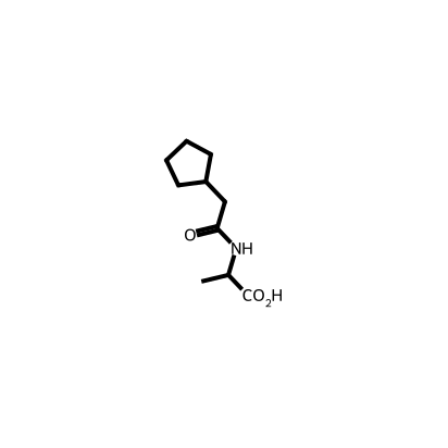 CC(NC(=O)CC1CCCC1)C(=O)O